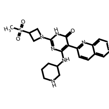 CS(=O)(=O)C1CN(c2nc(NC3CCCNC3)c(-c3ccc4ccccc4n3)c(=O)[nH]2)C1